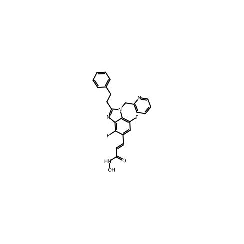 O=C(C=Cc1cc(F)c2c(nc(CCc3ccccc3)n2Cc2ccccn2)c1F)NO